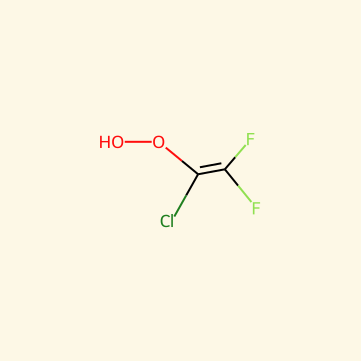 OOC(Cl)=C(F)F